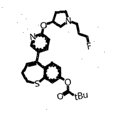 CC(C)(C)C(=O)Oc1ccc2c(c1)SCCC=C2c1ccc(OC2CCN(CCCF)C2)nc1